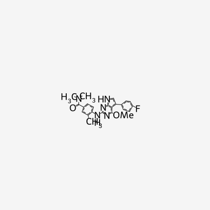 COc1nc(Nc2ccc(C(=O)N(C)C)cc2C)nc2[nH]cc(-c3ccc(F)cc3)c12